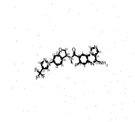 CN(C(=O)c1cc2c(cc1F)nc(N)c1cncn12)[C@@H]1COc2cc(-n3cc(C(F)(F)F)cn3)ccc21